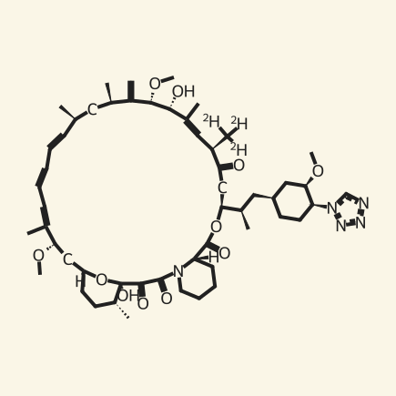 [2H]C([2H])([2H])[C@@H]1/C=C(\C)[C@@H](O)[C@@H](OC)C(=C)[C@H](C)C[C@H](C)/C=C/C=C/C=C(\C)[C@@H](OC)C[C@@H]2CC[C@@H](C)[C@@](O)(O2)C(=O)C(=O)N2CCCC[C@H]2C(=O)O[C@H]([C@H](C)C[C@@H]2CC[C@H](n3cnnn3)[C@H](OC)C2)CC1=O